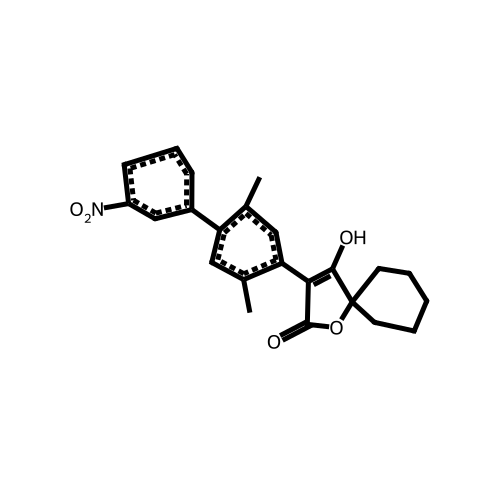 Cc1cc(-c2cccc([N+](=O)[O-])c2)c(C)cc1C1=C(O)C2(CCCCC2)OC1=O